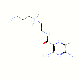 C[N+](C)(CCCN)CCNC(=O)c1nc(Cl)c(N)nc1N.[Br-]